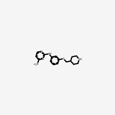 Nc1ccnc(Nc2cccc(OCC3CCNCC3)c2)n1